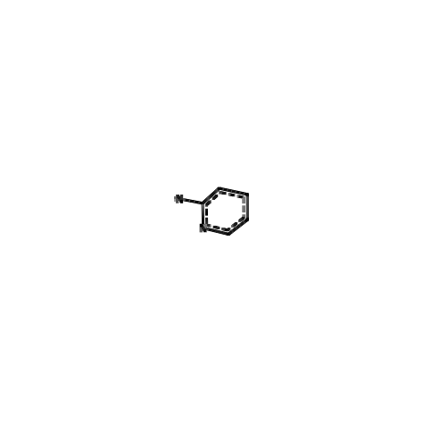 [N]c1ccccn1